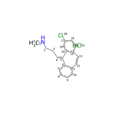 CNCC/C=C1/c2ccccc2C=Cc2ccc(Cl)cc21.Cl